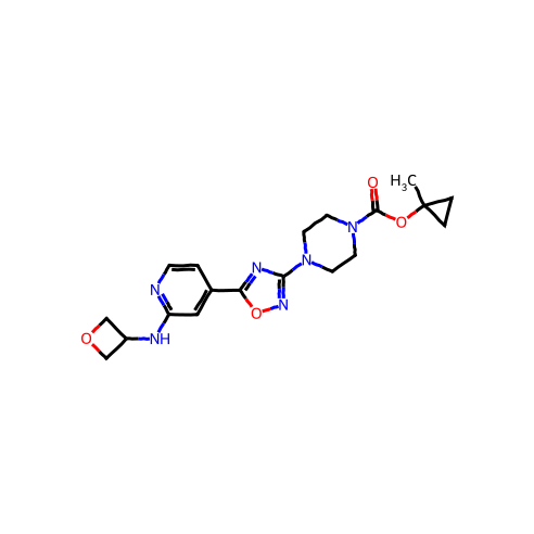 CC1(OC(=O)N2CCN(c3noc(-c4ccnc(NC5COC5)c4)n3)CC2)CC1